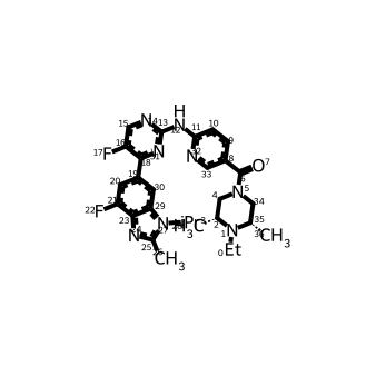 CCN1[C@H](C)CN(C(=O)c2ccc(Nc3ncc(F)c(-c4cc(F)c5nc(C)n(C(C)C)c5c4)n3)nc2)C[C@@H]1C